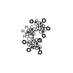 COC(OCC(OC(O)C(CC1OC(COC(=O)c2ccccc2)C(OC(=O)c2ccccc2)C(OC(=O)c2ccccc2)C1OC(=O)c1ccccc1)OC(C)=O)C(C)OC(C)=O)C(OC(=O)c1ccccc1)C(OC(=O)c1ccccc1)C(OC(=O)c1ccccc1)C(C)COC(=O)c1ccccc1